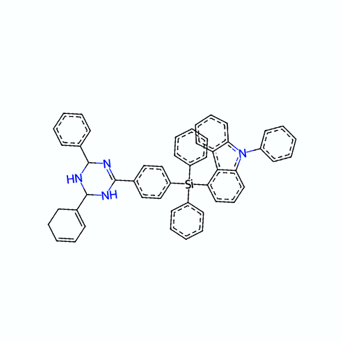 C1=CCCC(C2NC(c3ccc([Si](c4ccccc4)(c4ccccc4)c4cccc5c4c4ccccc4n5-c4ccccc4)cc3)=NC(c3ccccc3)N2)=C1